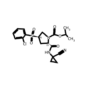 CC(C)OC(=O)N1C[C@H](S(=O)(=O)c2ccccc2Cl)C[C@H]1C(=O)NC1(C#N)CC1